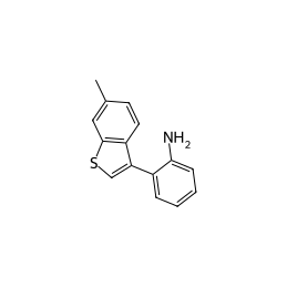 Cc1ccc2c(-c3ccccc3N)csc2c1